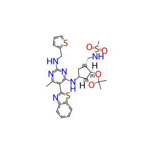 Cc1nc(NCc2cccs2)nc(NC2C[C@H](CNS(C)(=O)=O)[C@H]3OC(C)(C)O[C@@H]23)c1-c1nc2ccccc2s1